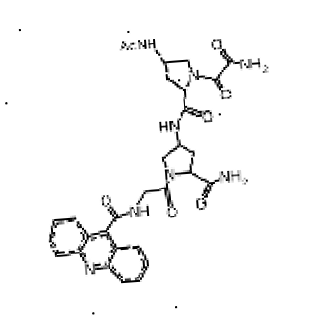 CC(=O)NC1CC(C(=O)NC2CC(C(N)=O)N(C(=O)CNC(=O)c3c4ccccc4nc4ccccc34)C2)N(C(=O)C(N)=O)C1